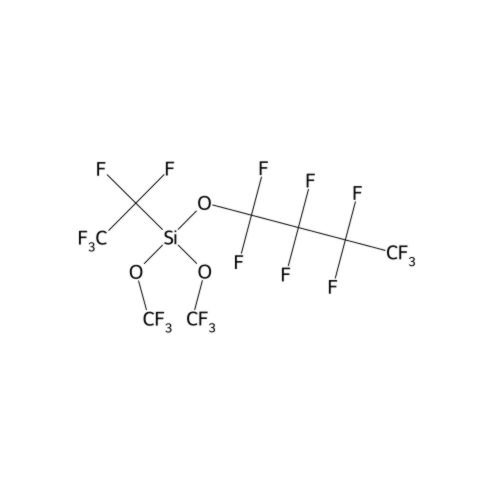 FC(F)(F)O[Si](OC(F)(F)F)(OC(F)(F)C(F)(F)C(F)(F)C(F)(F)F)C(F)(F)C(F)(F)F